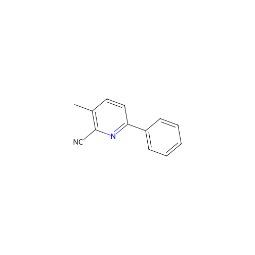 Cc1ccc(-c2ccccc2)nc1C#N